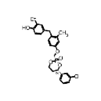 CCc1cc(Cc2ccc(OC[P@@]3(=O)OCC[C@@H](c4cccc(Cl)c4)O3)cc2C)ccc1O